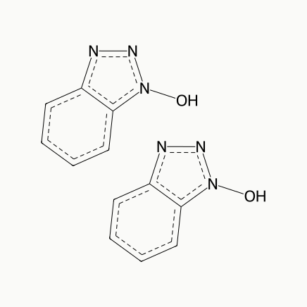 On1nnc2ccccc21.On1nnc2ccccc21